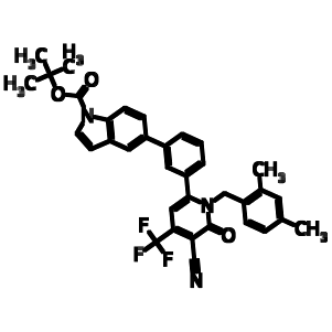 Cc1ccc(Cn2c(-c3cccc(-c4ccc5c(ccn5C(=O)OC(C)(C)C)c4)c3)cc(C(F)(F)F)c(C#N)c2=O)c(C)c1